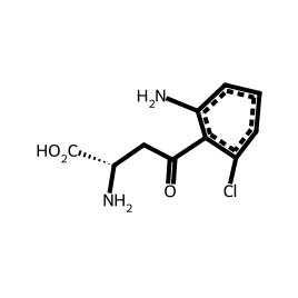 Nc1cccc(Cl)c1C(=O)C[C@H](N)C(=O)O